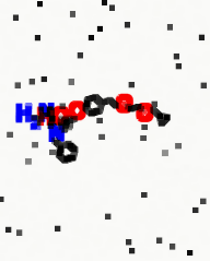 NCCN(Cc1ccccc1)C[C@H](O)COc1ccc(CCOCCOCC2CC2)cc1